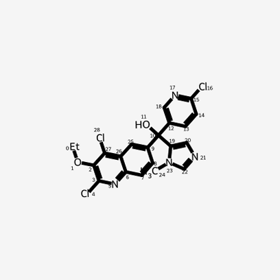 CCOc1c(Cl)nc2ccc(C(O)(c3ccc(Cl)nc3)c3cncn3C)cc2c1Cl